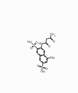 CC(=O)CC(=O)Nc1cc2c(O)cc(S(=O)(=O)O)cc2cc1S(=O)(=O)O